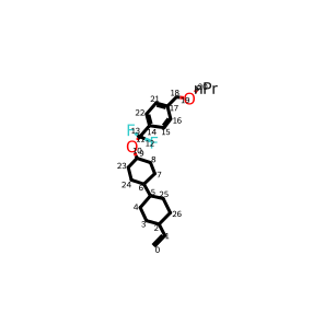 C=CC1CCC(C2CCC(OC(F)(F)c3ccc(COCCC)cc3)CC2)CC1